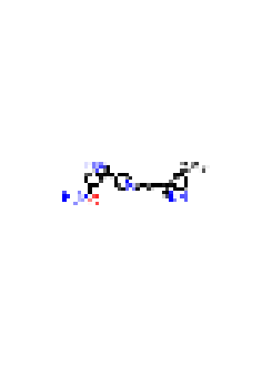 COc1ccc2[nH]cc(CCCCN3CCC(c4c[nH]c5ccc(C(N)=O)cc45)CC3)c2c1